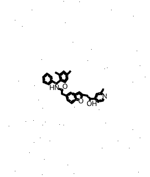 Cc1ccc(C(NC(=O)Cc2ccc3oc(CC(O)c4ccnc(C)c4)cc3c2)c2ccccc2)c(C)c1